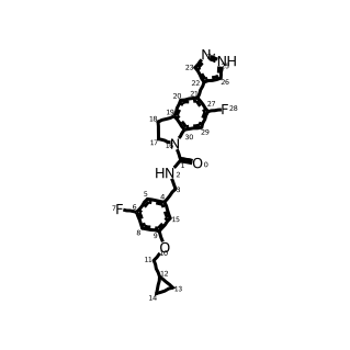 O=C(NCc1cc(F)cc(OCC2CC2)c1)N1CCc2cc(-c3cn[nH]c3)c(F)cc21